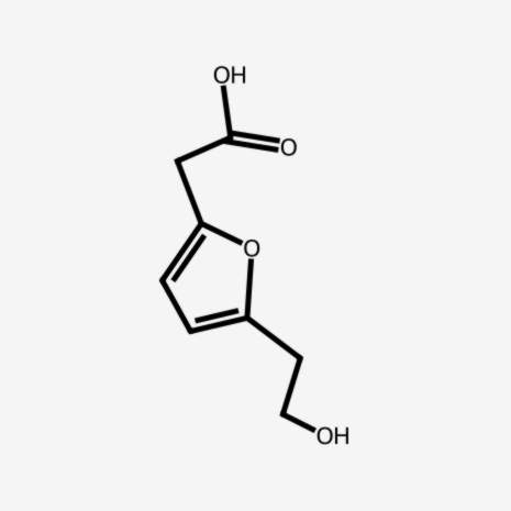 O=C(O)Cc1ccc(CCO)o1